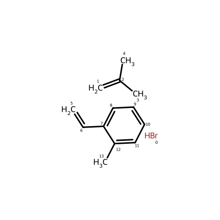 Br.C=C(C)C.C=Cc1ccccc1C